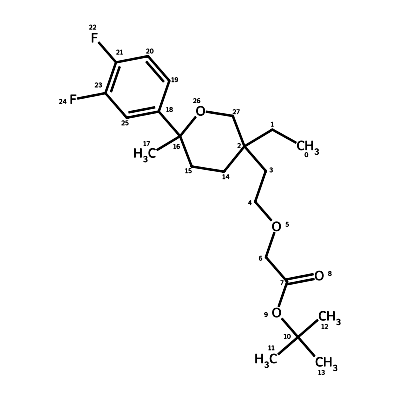 CCC1(CCOCC(=O)OC(C)(C)C)CCC(C)(c2ccc(F)c(F)c2)OC1